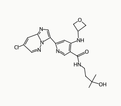 CC(C)(O)CCNC(=O)c1cnc(-c2cnc3cc(Cl)cnn23)cc1NC1COC1